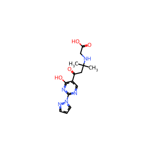 CC(C)(CC(=O)c1cnc(-n2cccn2)nc1O)NCC(=O)O